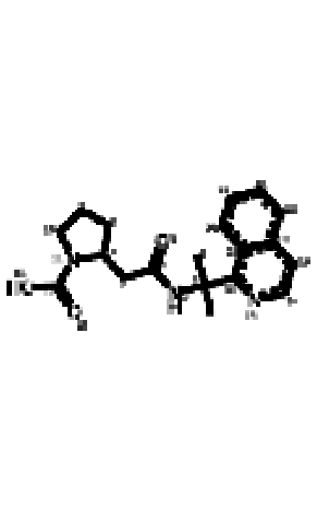 CC(C)(NC(=O)CC1CCCN1C(=O)O)c1nccc2ccccc12